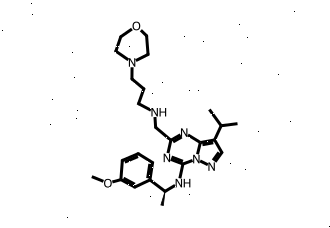 COc1cccc([C@H](C)Nc2nc(CNCCCN3CCOCC3)nc3c(C(C)C)cnn23)c1